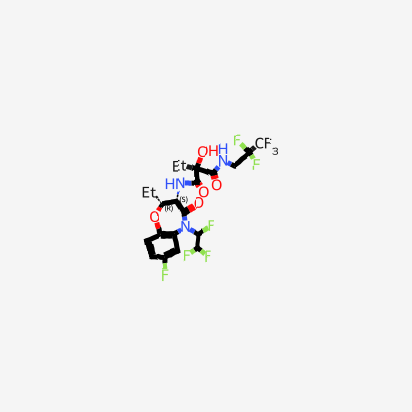 CC[C@H]1Oc2ccc(F)cc2N(C(F)C(F)F)C(=O)[C@H]1NC(=O)C(O)(CC)C(=O)NCC(F)(F)C(F)(F)F